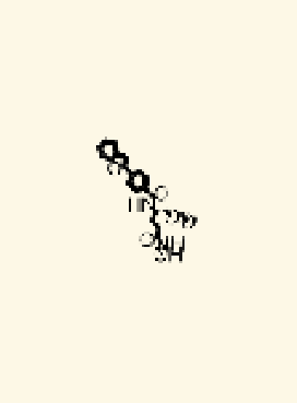 COCOC[C@H](CCC(=O)NO)NC(=O)c1ccc(-c2cc3ccccc3o2)cc1